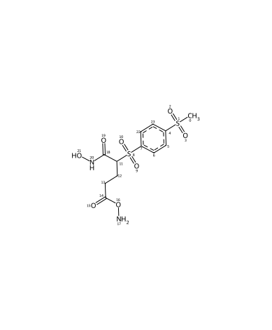 CS(=O)(=O)c1ccc(S(=O)(=O)C(CCC(=O)ON)C(=O)NO)cc1